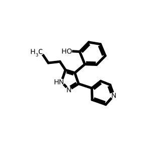 CCCc1[nH]nc(-c2ccncc2)c1-c1ccccc1O